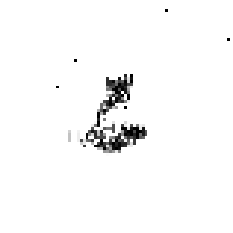 Cc1nc(C#CCOCCOc2ccc3c(c2)C(=O)N(C2CCC(=O)NC2=O)C3=O)ccc1O[C@H]1C[C@H](Oc2ccc(-c3ccc4c5cnccc5n(C)c4c3)cn2)C1